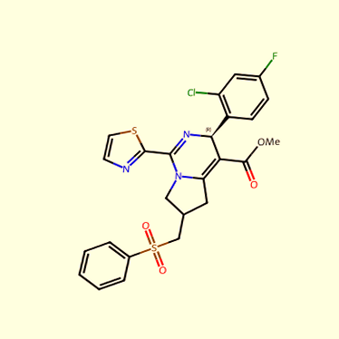 COC(=O)C1=C2CC(CS(=O)(=O)c3ccccc3)CN2C(c2nccs2)=N[C@H]1c1ccc(F)cc1Cl